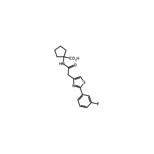 O=C(Cc1csc(-c2cccc(F)c2)n1)NC1(C(=O)O)CCCC1